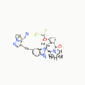 [2H]C([2H])([2H])N1C(=O)c2cccc(OC(F)F)c2[C@H]2C[C@@H]1c1nc3ccc(C#Cc4cnn(C)c4C#N)cc3n12